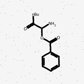 CCCCC(=O)C(N)OC(=O)c1ccccc1